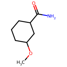 COC1CCCC(C(N)=O)C1